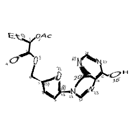 CCC(OC(C)=O)C(=O)OC[C@@H]1C=C[C@H](n2cnc3c(O)ncnc32)O1